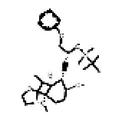 CO[C@@]12CC[C@H](O)[C@@H](C#C[C@H](COc3ccccc3)O[Si](C)(C)C(C)(C)C)[C@@H]1C(C)C21OCCO1